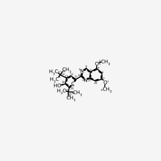 COc1cc(OC)c2cnc(-c3cc(C(C)(C)C)c(O)c(C(C)(C)C)c3)nc2c1